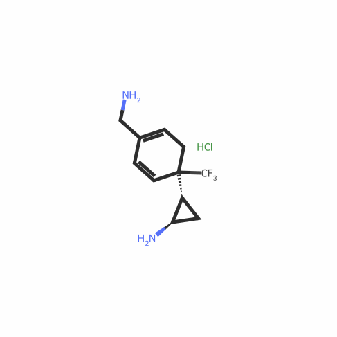 Cl.NCC1=CCC([C@@H]2C[C@H]2N)(C(F)(F)F)C=C1